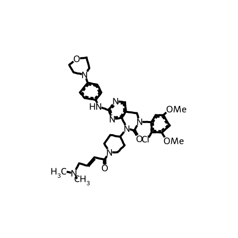 COc1cc(OC)c(Cl)c(N2Cc3cnc(Nc4ccc(N5CCOCC5)cc4)nc3N(C3CCN(C(=O)C=CCN(C)C)CC3)C2=O)c1